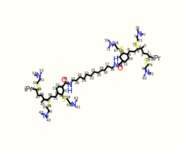 CC(C)C(CCC(C)C(CCC1CCC(C(=O)NCCCCCCCCCCCCNC(=O)C2CCC(CCC(SCCN(C)C)C(C)CCC(SCCN(C)C)C(C)C)C(SCCN(C)C)C2)CC1SCCN(C)C)SCCN(C)C)SCCN(C)C